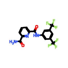 NC(=O)c1cccc(C(=O)Nc2cc(C(F)(F)F)cc(C(F)(F)F)c2)n1